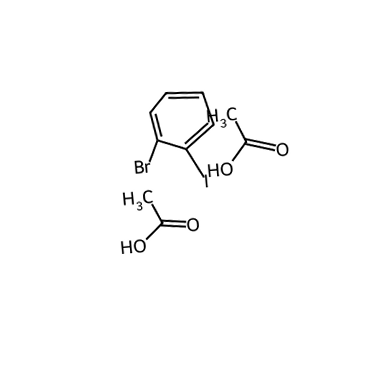 Brc1ccccc1I.CC(=O)O.CC(=O)O